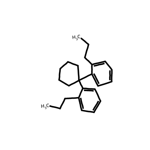 CCCc1ccccc1C1(c2ccccc2CCC)CCCCC1